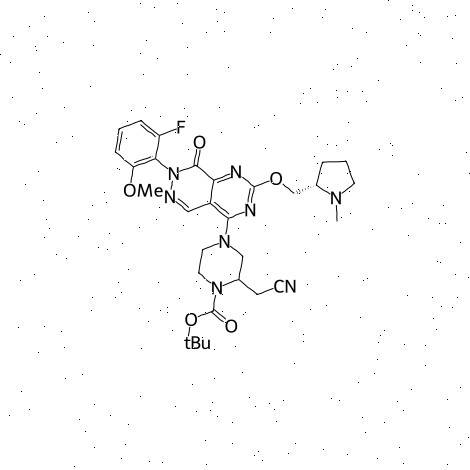 COc1cccc(F)c1-n1ncc2c(N3CCN(C(=O)OC(C)(C)C)C(CC#N)C3)nc(OC[C@@H]3CCCN3C)nc2c1=O